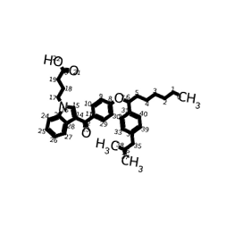 CCCCCCC(Oc1ccc(C(=O)c2cn(CCCC(=O)O)c3ccccc23)cc1)c1ccc(CC(C)C)cc1